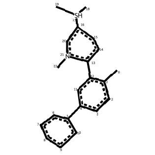 Cc1ccc(-c2ccccc2)cc1-c1ccc([SH](C)C)c[n+]1C